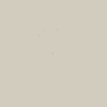 CCC1(CC)C[C@@H](OCc2ccccc2)CN1C(=O)c1cnn2c1N[C@@H](C1C=CC=CC1)CC2(C)C